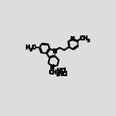 Cc1ccc2c(c1)c1c(n2CCc2ccc(C)nc2)CCN(C)C1.Cl.Cl